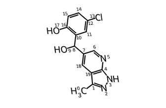 Cc1n[nH]c2ncc(C(O)c3cc(Cl)ccc3O)cc12